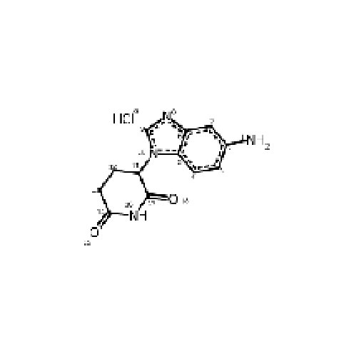 Cl.Nc1ccc2c(c1)ncn2C1CCC(=O)NC1=O